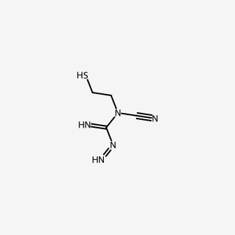 N#CN(CCS)C(=N)N=N